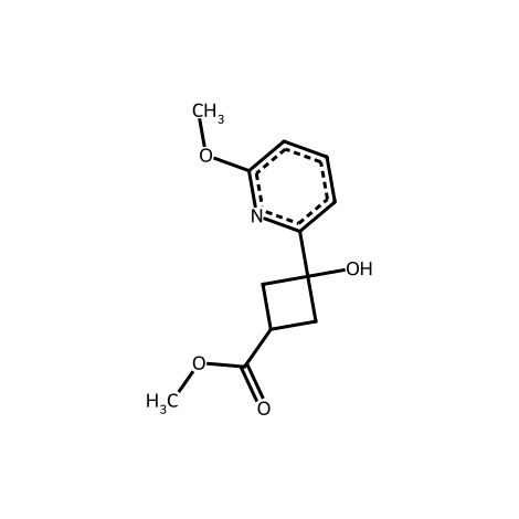 COC(=O)C1CC(O)(c2cccc(OC)n2)C1